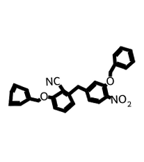 N#Cc1c(Cc2ccc([N+](=O)[O-])c(OCc3ccccc3)c2)cccc1OCc1ccccc1